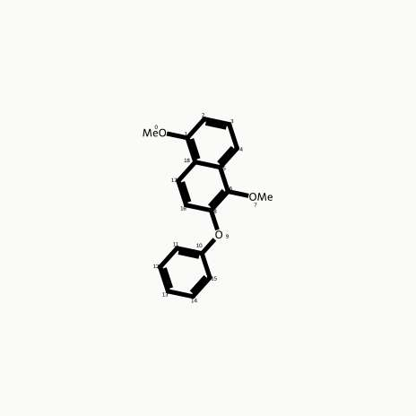 COc1cccc2c(OC)c(Oc3ccccc3)ccc12